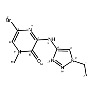 CCn1cc(Nc2nc(Br)cn(C)c2=O)nn1